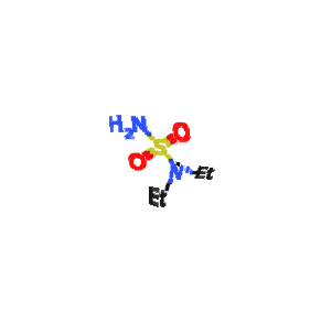 CC[N+](CC)S(N)(=O)=O